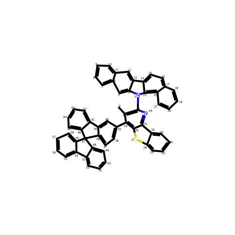 Cc1c(-n2c3cc4ccccc4cc3c3ccc4ccccc4c32)nc2c(sc3ccccc32)c1-c1ccc2c(c1)-c1ccccc1C21c2ccccc2-c2ccccc21